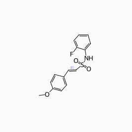 COc1ccc(/C=C/S(=O)(=O)Nc2ccccc2F)cc1